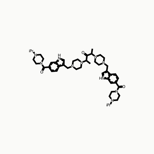 CC(C)N1CCN(C(=O)c2ccc3c(CN4CCN(C(C)C(=O)C(C)N5CCN(Cc6c[nH]c7cc(C(=O)N8CCN(C(C)C)CC8)ccc67)CC5)CC4)c[nH]c3c2)CC1